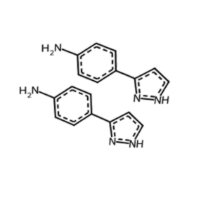 Nc1ccc(-c2cc[nH]n2)cc1.Nc1ccc(-c2cc[nH]n2)cc1